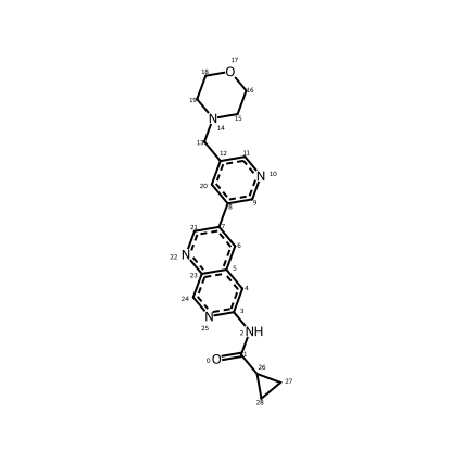 O=C(Nc1cc2cc(-c3cncc(CN4CCOCC4)c3)cnc2cn1)C1CC1